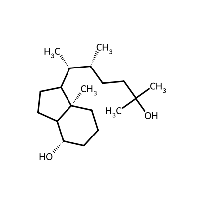 C[C@H](CCC(C)(C)O)[C@@H](C)C1CCC2[C@@H](O)CCC[C@@]21C